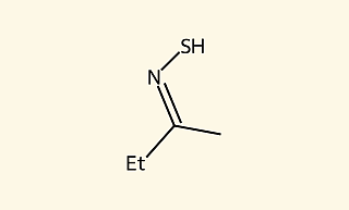 CCC(C)=NS